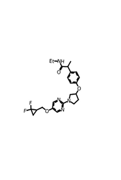 CCNC(=O)C(C)c1ccc(OC2CCN(c3ncc(OCC4CC4(F)F)cn3)C2)cc1